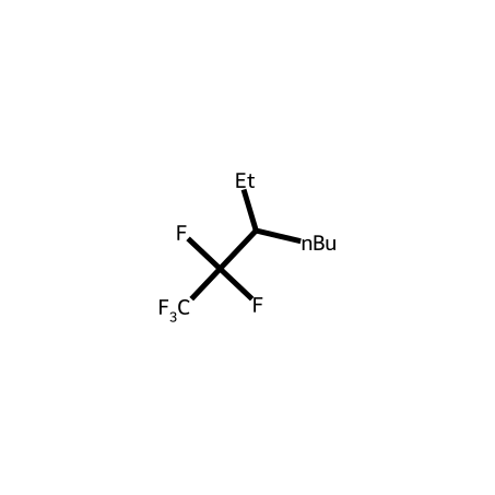 CCCCC(CC)C(F)(F)C(F)(F)F